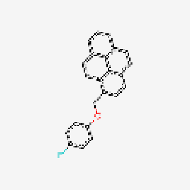 Fc1ccc(OCc2ccc3ccc4cccc5ccc2c3c45)cc1